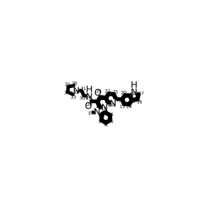 Cn1c2ccccc2n2c3nc(-c4ccc5cc[nH]c5c4)ccc3c(=O)c(C(=O)NCCN3CCCC3)c12